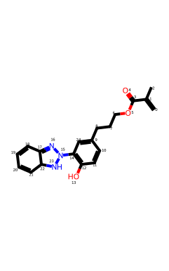 C=C(C)C(=O)OCCCc1ccc(O)c(N2N=C3C=CC=CC3N2)c1